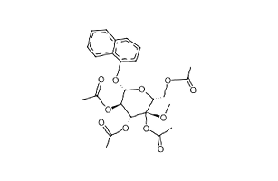 CO[C@@]1(OC(C)=O)[C@H](OC(C)=O)[C@@H](OC(C)=O)[C@H](Oc2cccc3ccccc23)O[C@@H]1COC(C)=O